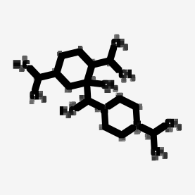 CC(C)C1CCC(C(C)C)C(C)(C(C)N2CCN(C(C)C)CC2)C1